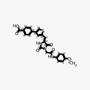 COc1ccc(NC(=O)CN2C(=O)N/C(=C\c3cc(-c4ccc(C(=O)O)cc4)cs3)C2=O)cc1